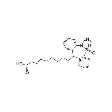 CN1c2ccccc2C(CCCCCCCCC(=O)O)c2ccccc2S1(=O)=O